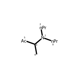 CCCN(CCC)C(C)C(C)=O